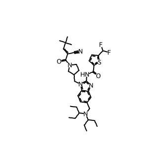 CCC(CC)N(Cc1ccc2c(c1)nc(NC(=O)c1ccc(C(F)F)s1)n2CC1CCN(C(=O)C(C#N)=CC(C)(C)C)C1)C(CC)CC